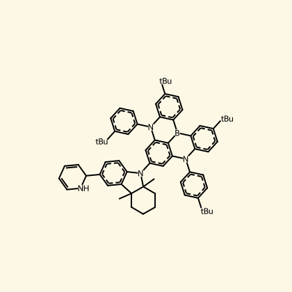 CC(C)(C)c1ccc(N2c3ccc(C(C)(C)C)cc3B3c4ccc(C(C)(C)C)cc4N(c4cccc(C(C)(C)C)c4)c4cc(N5c6ccc(C7C=CC=CN7)cc6C6(C)CCCCC56C)cc2c43)cc1